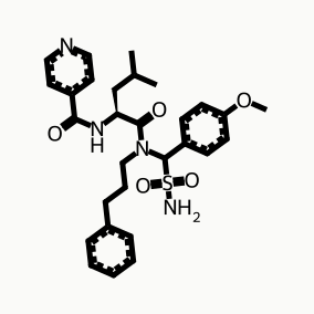 COc1ccc(C(N(CCCc2ccccc2)C(=O)[C@H](CC(C)C)NC(=O)c2ccncc2)S(N)(=O)=O)cc1